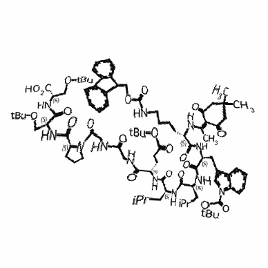 CC(N[C@@H](CCCCNC(=O)OCC1c2ccccc2-c2ccccc21)C(=O)N[C@@H](Cc1cn(C(=O)OC(C)(C)C)c2ccccc12)C(=O)N[C@@H](CC(C)C)C(=O)N[C@@H](CC(C)C)C(=O)N[C@@H](CCC(=O)OC(C)(C)C)C(=O)NCC(=O)NCC(=O)N1CCC[C@H]1C(=O)N[C@@H](COC(C)(C)C)C(=O)N[C@@H](COC(C)(C)C)C(=O)O)=C1C(=O)CC(C)(C)CC1=O